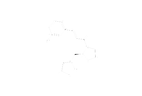 O=C(/C=C/c1cccc(Cl)c1)N1CCC[C@H]1CN1CCCC1